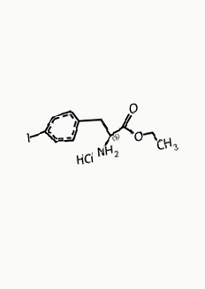 CCOC(=O)[C@@H](N)Cc1ccc(I)cc1.Cl